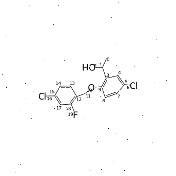 CC(O)c1cc(Cl)ccc1OCc1ccc(Cl)cc1F